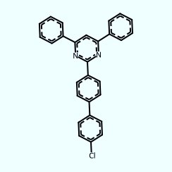 Clc1ccc(-c2ccc(-c3nc(-c4ccccc4)cc(-c4ccccc4)n3)cc2)cc1